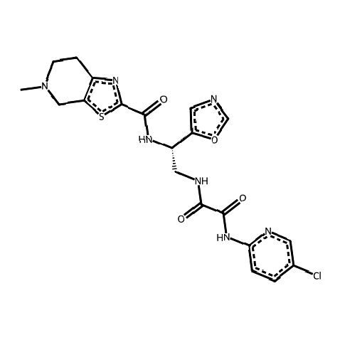 CN1CCc2nc(C(=O)N[C@@H](CNC(=O)C(=O)Nc3ccc(Cl)cn3)c3cnco3)sc2C1